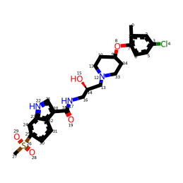 Cc1cc(Cl)ccc1OC1CCN(C[C@H](O)CNC(=O)c2c[nH]c3cc(S(C)(=O)=O)ccc23)CC1